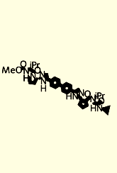 COC(=O)N[C@H](C(=O)N1CCC[C@H]1c1ncc(-c2ccc(-c3ccc(-c4cnc(C5=C(C(=O)N(CC(=O)NC6CC6)C(C)C)CCC5)[nH]4)cc3)cc2)[nH]1)C(C)C